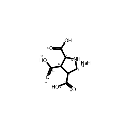 O=C(O)C1CNC(C(=O)O)C1C(=O)O.[NaH]